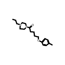 CCCN1CCN(C(=O)CCCCOc2ccc(C)cc2)CC1